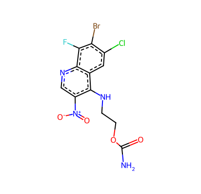 NC(=O)OCCNc1c([N+](=O)[O-])cnc2c(F)c(Br)c(Cl)cc12